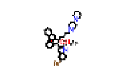 COc1nc2ccc(Br)cc2cc1C(c1ccccc1)C(O)(CCCCN1CCC(N2CCCCC2)CC1)c1ccc2ccccc2c1